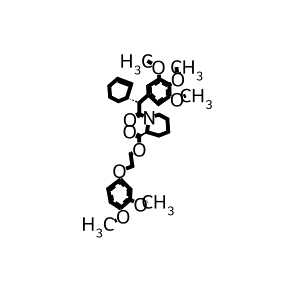 COc1ccc(OCCOC(=O)[C@@H]2CCCCN2C(=O)C(c2cc(OC)c(OC)c(OC)c2)[C@H]2C=CCCC2)cc1OC